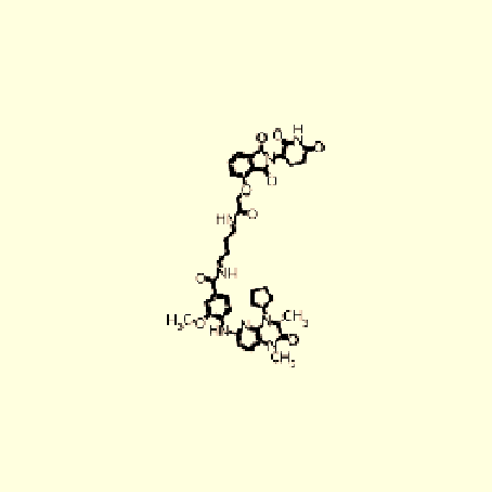 COc1cc(C(=O)NCCCCNC(=O)COc2cccc3c2C(=O)N(C2CCC(=O)NC2=O)C3=O)ccc1Nc1ccc2c(n1)N(C1CCCC1)[C@H](C)C(=O)N2C